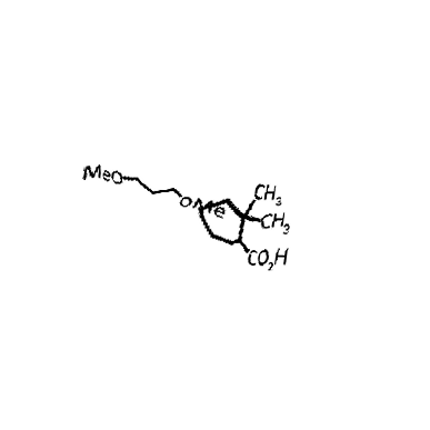 CC1(C)CCCC1C(=O)O.COCCCOC